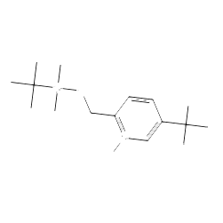 CC(C)(C)[Si](C)(C)OCc1ccc(C(F)(F)F)c[n+]1[O-]